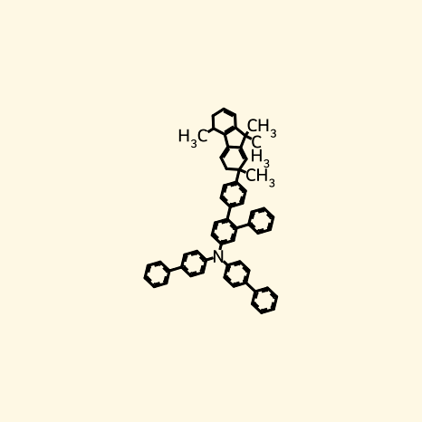 CC1CC=CC2=C1C1=CCC(C)(c3ccc(-c4ccc(N(c5ccc(-c6ccccc6)cc5)c5ccc(-c6ccccc6)cc5)cc4-c4ccccc4)cc3)C=C1C2(C)C